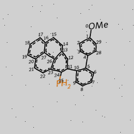 COc1ccc(-c2ccccc2-c2cc3ccc4cccc5ccc(c2P)c3c45)cc1